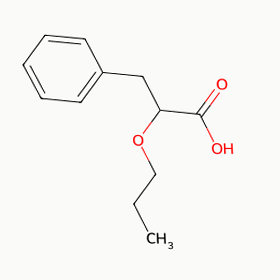 CCCOC(Cc1ccccc1)C(=O)O